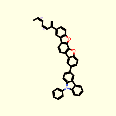 C=C(/C=C\C=C/C)c1ccc2oc3c(ccc4c5cc(-c6ccc7c(c6)c6ccccc6n7-c6ccccc6)ccc5oc43)c2c1